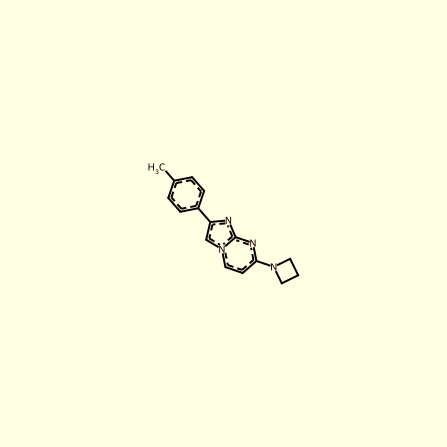 Cc1ccc(-c2cn3ccc(N4CCC4)nc3n2)cc1